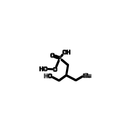 CC(C)(C)CC(CO)CP(=O)(O)OO